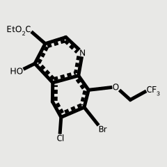 CCOC(=O)c1cnc2c(OCC(F)(F)F)c(Br)c(Cl)cc2c1O